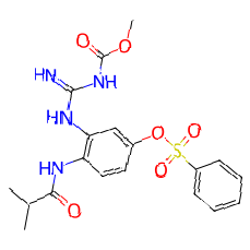 COC(=O)NC(=N)Nc1cc(OS(=O)(=O)c2ccccc2)ccc1NC(=O)C(C)C